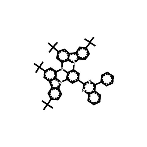 CC(C)(C)c1ccc2c(c1)c1cc(C(C)(C)C)cc3c1n2-c1cc(-c2nc(-c4ccccc4)c4ccccc4n2)cc2c1B3c1cc(C(C)(C)C)cc3c4cc(C(C)(C)C)ccc4n-2c13